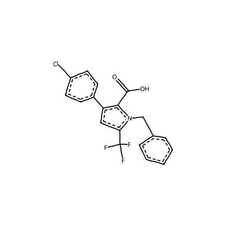 O=C(O)c1c(-c2ccc(Cl)cc2)cc(C(F)(F)F)n1Cc1ccccc1